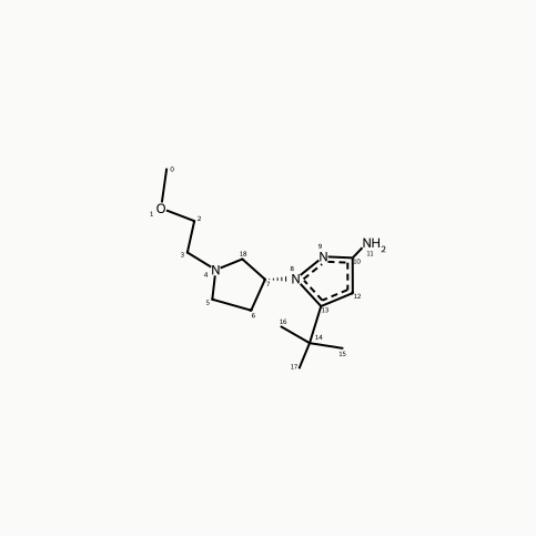 COCCN1CC[C@@H](n2nc(N)cc2C(C)(C)C)C1